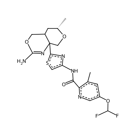 Cc1cc(OC(F)F)cnc1C(=O)Nc1csc(C23CO[C@@H](C)CC2COC(N)=N3)n1